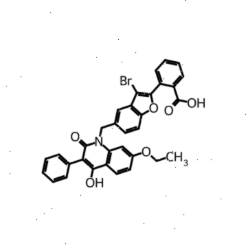 CCOc1ccc2c(O)c(-c3ccccc3)c(=O)n(Cc3ccc4oc(-c5ccccc5C(=O)O)c(Br)c4c3)c2c1